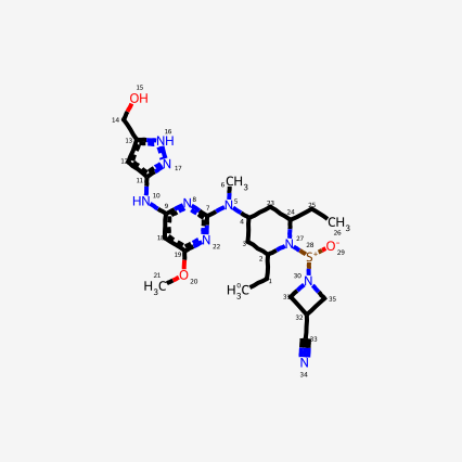 CCC1CC(N(C)c2nc(Nc3cc(CO)[nH]n3)cc(OC)n2)CC(CC)N1[S+]([O-])N1CC(C#N)C1